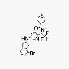 CN(C(=O)C1CCSCC1)[C@@H](c1ccc(NC2Cc3cccc(Br)c3C2)cn1)C(F)(F)F